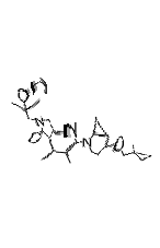 Cc1c(N2CCC(OCC3(C)CC3)C3CC32)nc2c(c1C)C(=O)N(CC(C)(C)O)C2